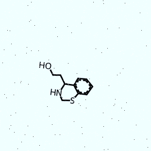 OCCC1NCSc2ccccc21